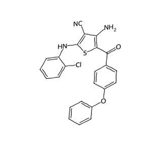 N#Cc1c(Nc2ccccc2Cl)sc(C(=O)c2ccc(Oc3ccccc3)cc2)c1N